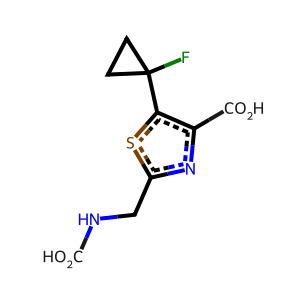 O=C(O)NCc1nc(C(=O)O)c(C2(F)CC2)s1